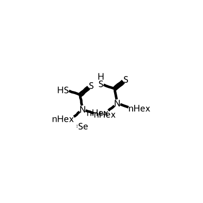 CCCCCCN(CCCCCC)C(=S)S.CCCCCCN(CCCCCC)C(=S)S.[Se]